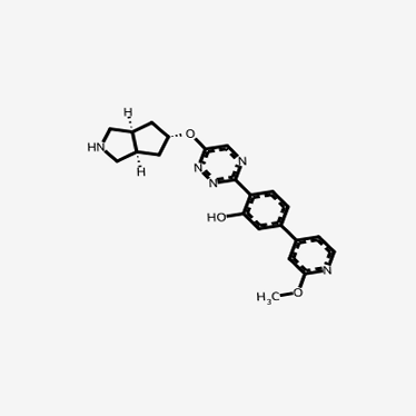 COc1cc(-c2ccc(-c3ncc(O[C@@H]4C[C@H]5CNC[C@H]5C4)nn3)c(O)c2)ccn1